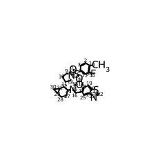 Cc1ccc(S(=O)(=O)N2CCC[C@H]2C(=O)N(Cc2ccc3scnc3c2)C2CCC3CC3C2)cc1F